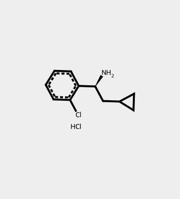 Cl.N[C@@H](CC1CC1)c1ccccc1Cl